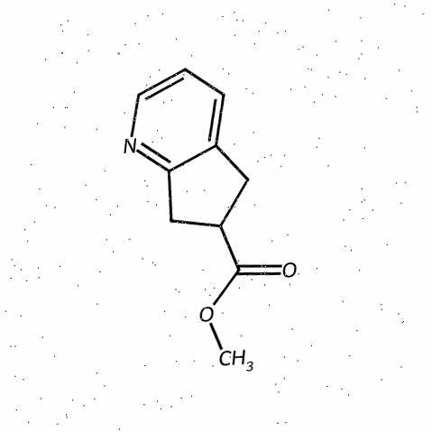 COC(=O)C1Cc2cccnc2C1